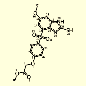 COC(=O)COc1ccc(S(=O)(=O)c2cc(OC)cc3[nH]c(S)nc23)cc1